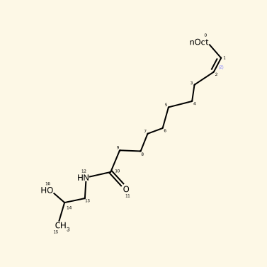 CCCCCCCC/C=C\CCCCCCCC(=O)NCC(C)O